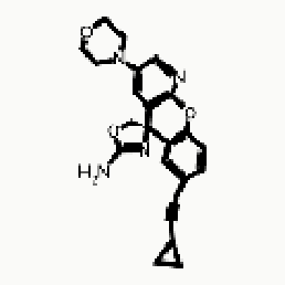 NC1=N[C@@]2(CO1)c1cc(C#CC3CC3)ccc1Oc1ncc(N3CCOCC3)cc12